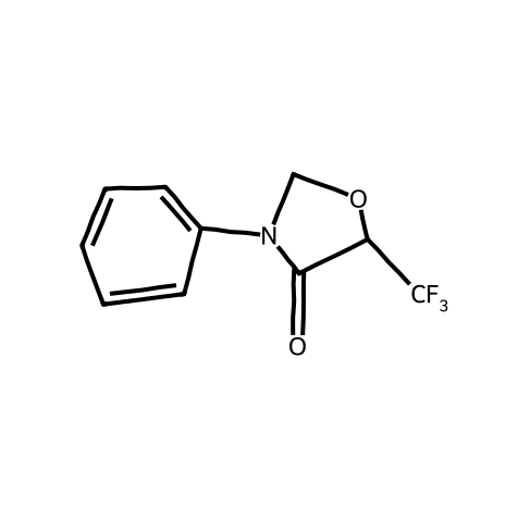 O=C1C(C(F)(F)F)OCN1c1ccccc1